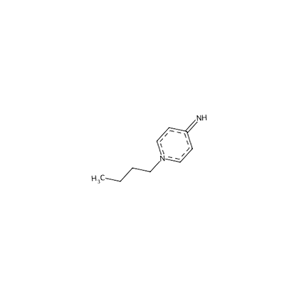 CCCCn1ccc(=N)cc1